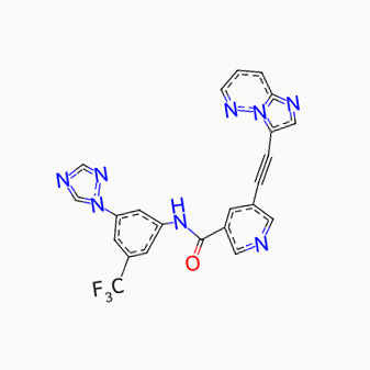 O=C(Nc1cc(-n2cncn2)cc(C(F)(F)F)c1)c1cncc(C#Cc2cnc3cccnn23)c1